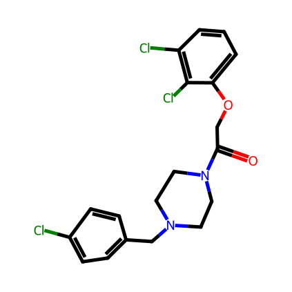 O=C(COc1cccc(Cl)c1Cl)N1CCN(Cc2ccc(Cl)cc2)CC1